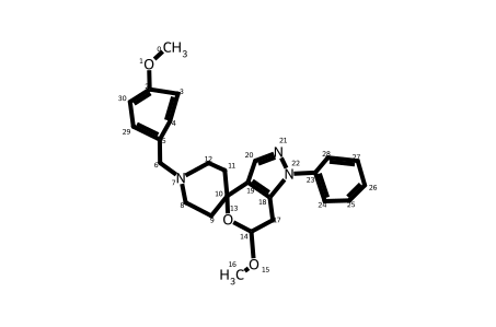 COc1ccc(CN2CCC3(CC2)OC(OC)Cc2c3cnn2-c2ccccc2)cc1